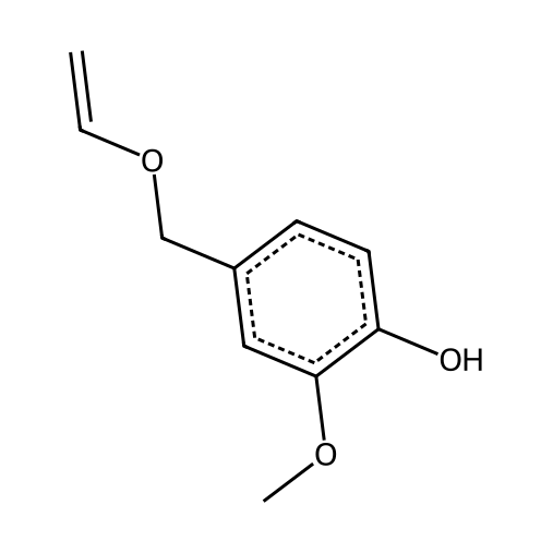 C=COCc1ccc(O)c(OC)c1